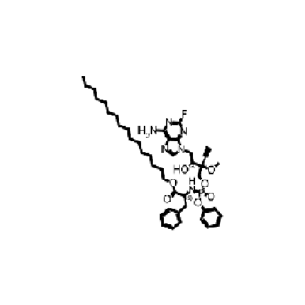 C#C[C@](COP(=O)(N[C@@H](Cc1ccccc1)C(=O)OCCCCCCCCCCCCCCCC)Oc1ccccc1)(OC)[C@@H](O)Cn1cnc2c(N)nc(F)nc21